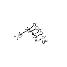 CC(=O)[O-].CC(=O)[O-].CC(=O)[O-].CC(=O)[O-].CC(=O)[O-].CC(=O)[O-].O.[U+6]